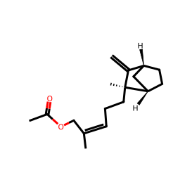 C=C1[C@@H]2CC[C@@H](C2)[C@@]1(C)CC/C=C(/C)COC(C)=O